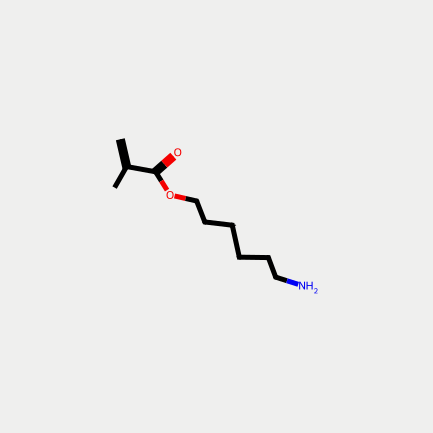 C=C(C)C(=O)OCC[CH]CCCN